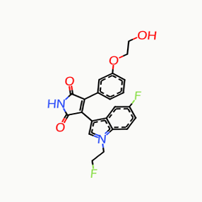 O=C1NC(=O)C(c2cn(CCF)c3ccc(F)cc23)=C1c1cccc(OCCO)c1